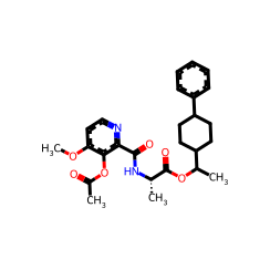 COc1ccnc(C(=O)N[C@@H](C)C(=O)OC(C)C2CCC(c3ccccc3)CC2)c1OC(C)=O